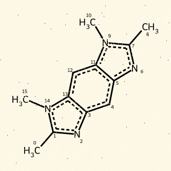 Cc1nc2cc3nc(C)n(C)c3cc2n1C